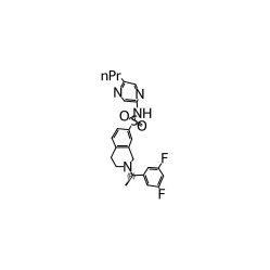 CCCc1cnc(NS(=O)(=O)c2ccc3c(c2)CN([C@H](C)c2cc(F)cc(F)c2)CC3)cn1